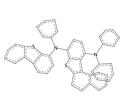 c1ccc(N(c2cccc3c2sc2ccccc23)c2ccc(N(c3ccccc3)c3ccccc3)c3c2sc2ccc4ccccc4c23)cc1